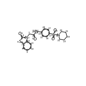 O=C(Cn1c(=O)sc2ccccc21)Nc1ccc(S(=O)(=O)N2CCCCC2)cc1